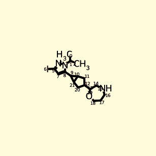 CC(C)n1nc(I)cc1C1C2CC(C3CNCCCO3)CC21